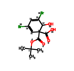 CC(C)(C)OC(=O)C1(C(=O)O)C=C(Br)C=C(Br)C1O